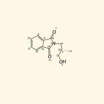 C[C@H](CO)CN1C(=O)c2ccccc2C1=O